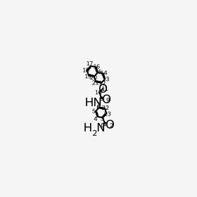 NC(=O)c1ccc(NC(=O)COc2ccc3ccccc3c2)cc1